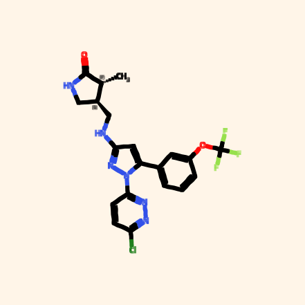 C[C@H]1C(=O)NC[C@@H]1CNc1cc(-c2cccc(OC(F)(F)F)c2)n(-c2ccc(Cl)nn2)n1